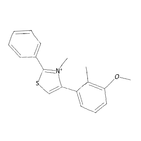 COc1cccc(-c2csc(-c3ccccc3)[n+]2C)c1C